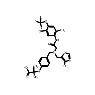 Cc1cc(OC(F)(F)F)c(Cl)cc1NC(=O)CN(Cc1ccc(SC(C)(C)C(=O)O)cc1)Cc1ocnc1C